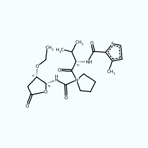 CCO[C@H]1CC(=O)O[C@H]1NC(=O)[N+]1(C(=O)[C@@H](NC(=O)c2sccc2C)C(C)C)CCCC1